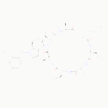 COc1ccccc1Cn1cc(C[C@H]2C(=O)N[C@@H](CC(C)C)C(=O)N(C)[C@@H](C)C(=O)O[C@H](CCC#N)C(=O)N[C@@H](CC(C)C)C(=O)N(C)C(CC(C)C)C(=O)N[C@@H](CC(C)C)C(=O)N2C)c2ccccc21